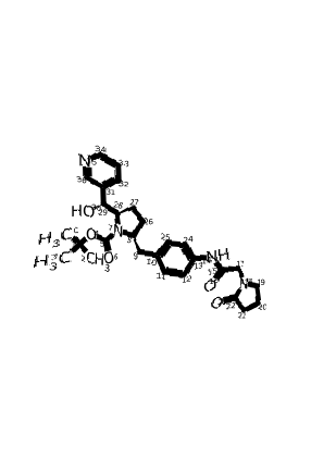 CC(C)(C)OC(=O)N1[C@H](Cc2ccc(NC(=O)CN3CCCC3=O)cc2)CC[C@@H]1[C@H](O)c1cccnc1